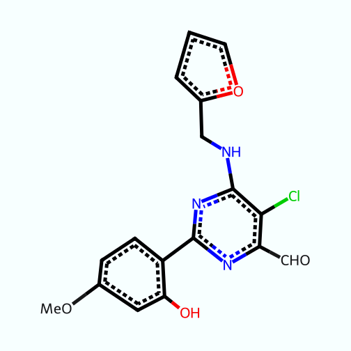 COc1ccc(-c2nc(C=O)c(Cl)c(NCc3ccco3)n2)c(O)c1